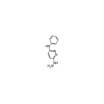 NNc1ccc(Nc2ccccc2)nn1